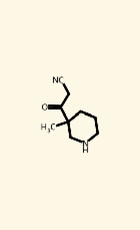 CC1(C(=O)CC#N)CCCNC1